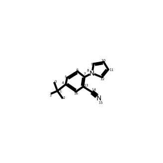 CC(C)(C)c1ccc(-n2cccc2)c(C#N)c1